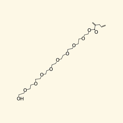 C=CCC(=C)C(=O)OCCOCCOCCOCCOCCOCCOCCOCCOCCO